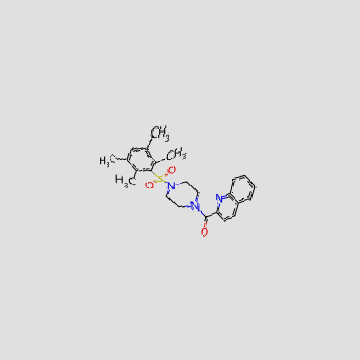 Cc1cc(C)c(C)c(S(=O)(=O)N2CCN(C(=O)c3ccc4ccccc4n3)CC2)c1C